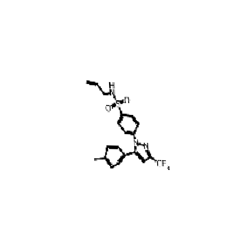 C=CCNS(=O)(=O)c1ccc(-n2nc(C(F)(F)F)cc2-c2ccc(C)cc2)cc1